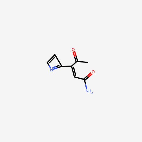 CC(=O)C(=CC(N)=O)C1=NC=C1